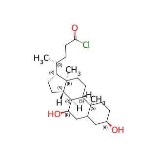 C[C@H](CCC(=O)Cl)[C@H]1CC[C@H]2[C@@H]3[C@H](O)CC4C[C@H](O)CC[C@]4(C)[C@H]3CC[C@]12C